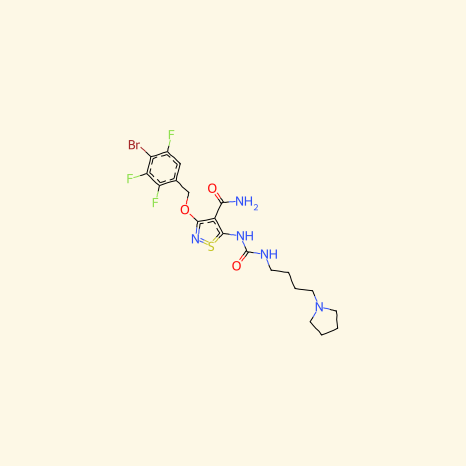 NC(=O)c1c(OCc2cc(F)c(Br)c(F)c2F)nsc1NC(=O)NCCCCN1CCCC1